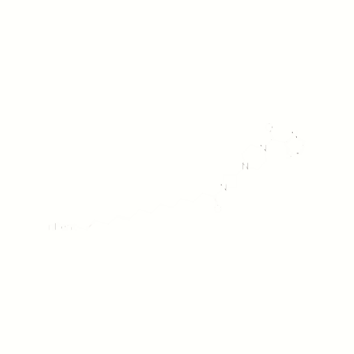 CCCCCC=CCC=CCCCCCCCC(=O)N1CC(N2CCN(C(=O)c3nccs3)CC2)C1